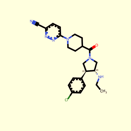 CCN[C@H]1CN(C(=O)C2CCN(c3ccc(C#N)nn3)CC2)C[C@@H]1c1ccc(Cl)cc1